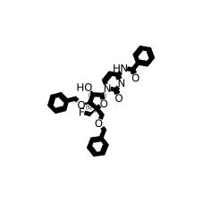 O=C(Nc1ccn([C@@H]2O[C@](CF)(COCc3ccccc3)[C@@H](OCc3ccccc3)[C@H]2O)c(=O)n1)c1ccccc1